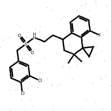 CC1(C)CC(CCNS(=O)(=O)Cc2ccc(Cl)c(Cl)c2)c2cccc(F)c2C12CC2